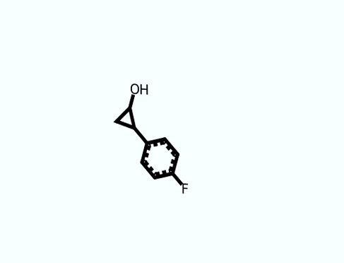 OC1CC1c1ccc(F)cc1